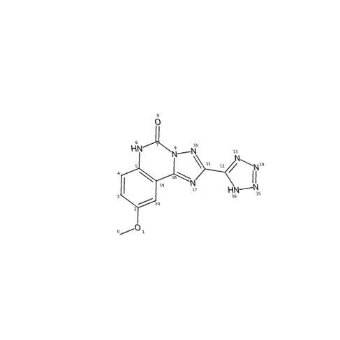 COc1ccc2[nH]c(=O)n3nc(-c4nnn[nH]4)nc3c2c1